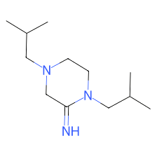 CC(C)CN1CCN(CC(C)C)C(=N)C1